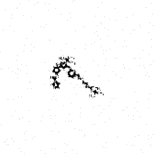 CC(C)(C)OC(=O)NCCO/N=C/c1cccc(Nc2cc([C@@]3(C)CCC(OC(=O)n4ccnc4)C3)nn2C(C)(C)C)n1